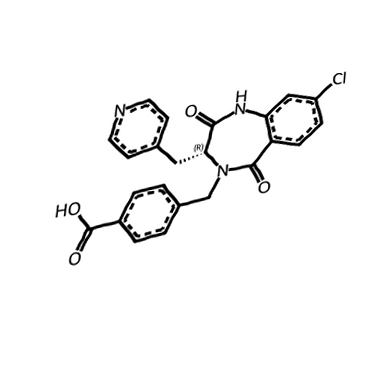 O=C(O)c1ccc(CN2C(=O)c3ccc(Cl)cc3NC(=O)[C@H]2Cc2ccncc2)cc1